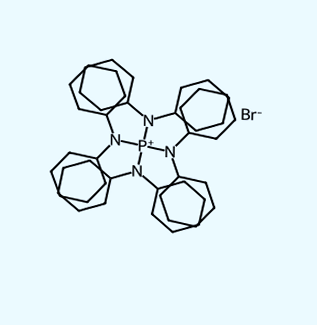 C1CCC(N(C2CCCCC2)[P+](N(C2CCCCC2)C2CCCCC2)(N(C2CCCCC2)C2CCCCC2)N(C2CCCCC2)C2CCCCC2)CC1.[Br-]